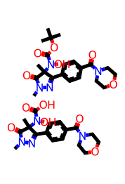 CN1N=C(c2ccc(C(=O)N3CCOCC3)cc2)C(C)(N(O)C(=O)O)C1=O.CN1N=C(c2ccc(C(=O)N3CCOCC3)cc2)C(C)(N(O)C(=O)OC(C)(C)C)C1=O